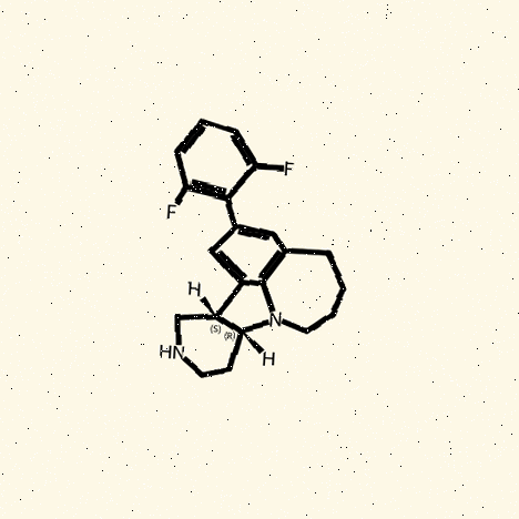 Fc1cccc(F)c1-c1cc2c3c(c1)[C@H]1CNCC[C@H]1N3CCCC2